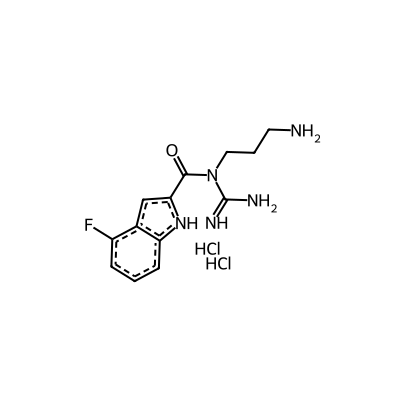 Cl.Cl.N=C(N)N(CCCN)C(=O)c1cc2c(F)cccc2[nH]1